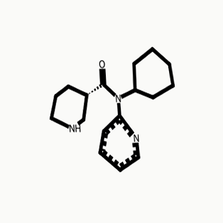 O=C([C@H]1CCCNC1)N(c1ccccn1)C1CCCCC1